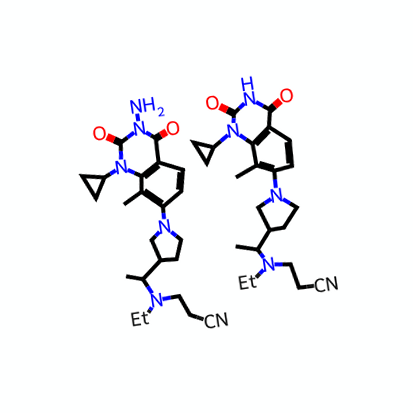 CCN(CCC#N)C(C)C1CCN(c2ccc3c(=O)[nH]c(=O)n(C4CC4)c3c2C)C1.CCN(CCC#N)C(C)C1CCN(c2ccc3c(=O)n(N)c(=O)n(C4CC4)c3c2C)C1